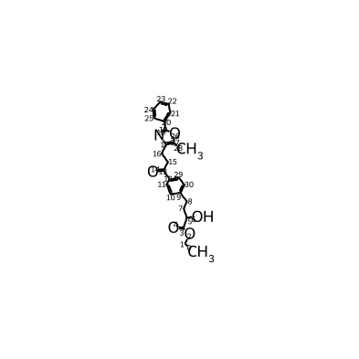 CCOC(=O)C(O)CCc1ccc(C(=O)CCc2nc(-c3ccccc3)oc2C)cc1